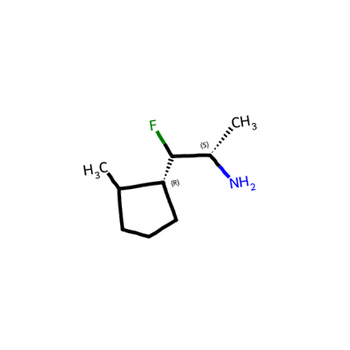 CC1CCC[C@H]1C(F)[C@H](C)N